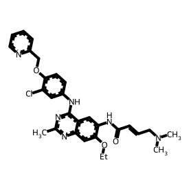 CCOc1cc2nc(C)nc(Nc3ccc(OCc4ccccn4)c(Cl)c3)c2cc1NC(=O)/C=C/CN(C)C